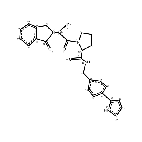 CC(C)[C@@H](C(=O)N1CCC[C@H]1C(=O)NCc1ccc(-c2ccn[nH]2)cc1)N1Cc2ccccc2C1=O